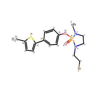 CCCN1CCN(CCBr)P1(=O)Oc1ccc(-c2ccc([N+](=O)[O-])s2)cc1